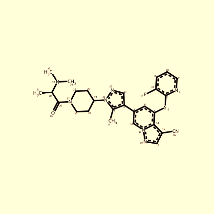 Cc1c(-c2cc(Sc3ncccc3F)c3c(C#N)cnn3c2)cnn1C1CCN(C(=O)[C@@H](C)N(C)C)CC1